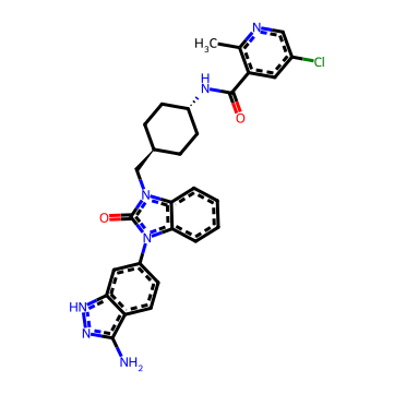 Cc1ncc(Cl)cc1C(=O)N[C@H]1CC[C@H](Cn2c(=O)n(-c3ccc4c(N)n[nH]c4c3)c3ccccc32)CC1